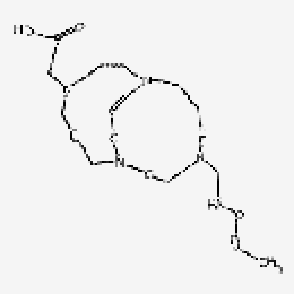 COONCN1CCCN2/C=C/CN(CCCN(CC(=O)O)CC2)CC1